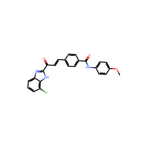 COc1ccc(NC(=O)c2ccc(C=CC(=O)c3nc4cccc(Cl)c4[nH]3)cc2)cc1